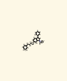 C/[N+]([O-])=C1/C=C(c2ccccc2)c2ccc(OCCCc3ccccc3)cc21